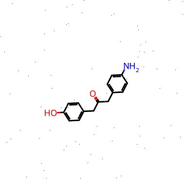 Nc1ccc(CC(=O)Cc2ccc(O)cc2)cc1